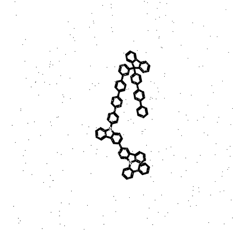 c1ccc(-c2ccc(-c3ccc(C4(c5cccc(-c6ccc(-c7ccc(-c8ccc(-n9c%10ccccc%10c%10cc(-c%11ccc%12c(c%11)c%11ccccc%11n%12-c%11ccccc%11-c%11ccccc%11)ccc%109)cc8)cc7)cc6)c5)c5ccccc5-c5ccccc54)cc3)cc2)cc1